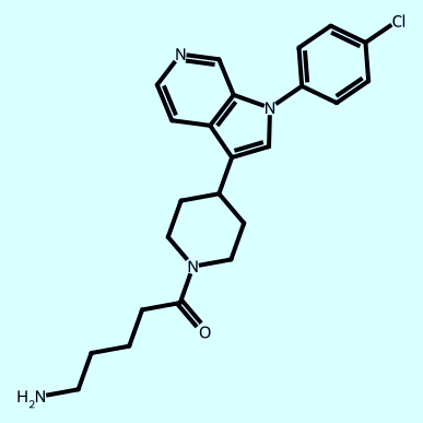 NCCCCC(=O)N1CCC(c2cn(-c3ccc(Cl)cc3)c3cnccc23)CC1